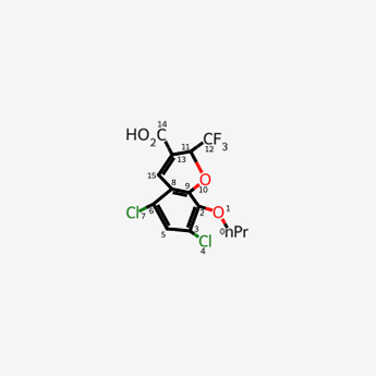 CCCOc1c(Cl)cc(Cl)c2c1OC(C(F)(F)F)C(C(=O)O)=C2